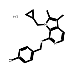 Cc1c(C)n(CC2CC2)c2c(OCc3ccc(Cl)cc3)nccc12.Cl